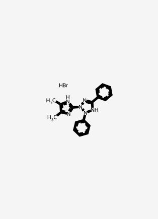 Br.Cc1nc(N2N=C(c3ccccc3)NN2c2ccccc2)[nH]c1C